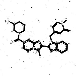 C=C1C=C(Cn2c(-c3nc4cc(C(=O)N5CCCC(N)C5)ccn4c3C)cc3ccccc32)C=CN1C